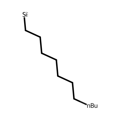 CCCCCCCCCCC[Si]